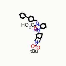 CC(C)(C)OC(=O)N1Cc2ccc(Nc3ccccc3N(Cc3ccc(-c4ccccc4)cc3)C(=O)C(=O)O)cc2C1